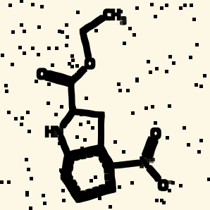 CCOC(=O)C1Cc2c(cccc2[N+](=O)[O-])N1